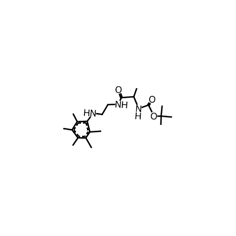 Cc1c(C)c(C)c(NCCNC(=O)C(C)NC(=O)OC(C)(C)C)c(C)c1C